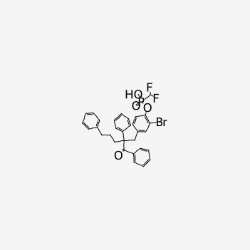 O=C(c1ccccc1)C(CCCc1ccccc1)(Cc1ccc(OP(=O)(O)C(F)F)c(Br)c1)c1ccccc1